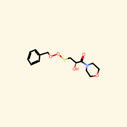 O=C([C@@H](O)CSOOCc1ccccc1)N1CCOCC1